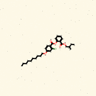 CCCCCCCCCCOc1ccc(C(=O)Oc2ccccc2C(=O)OCC(C)CC)c(Cl)c1